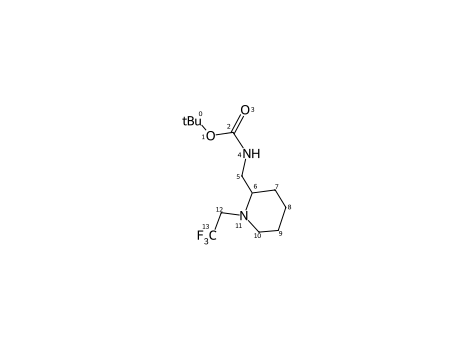 CC(C)(C)OC(=O)NCC1CCCCN1CC(F)(F)F